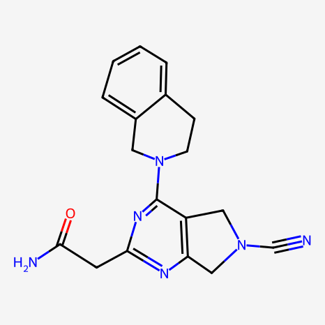 N#CN1Cc2nc(CC(N)=O)nc(N3CCc4ccccc4C3)c2C1